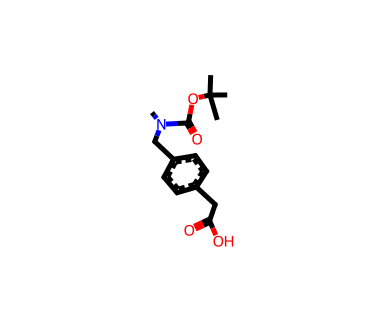 CN(Cc1ccc(CC(=O)O)cc1)C(=O)OC(C)(C)C